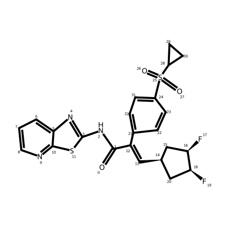 O=C(Nc1nc2cccnc2s1)/C(=C/[C@H]1C[C@@H](F)[C@@H](F)C1)c1ccc(S(=O)(=O)C2CC2)cc1